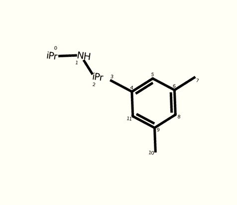 CC(C)NC(C)C.Cc1cc(C)cc(C)c1